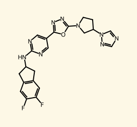 Fc1cc2c(cc1F)CC(Nc1ncc(-c3nnc(N4CCC(n5cncn5)C4)o3)cn1)C2